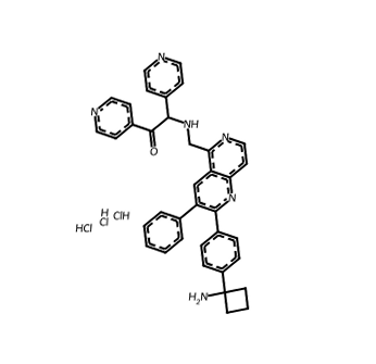 Cl.Cl.Cl.NC1(c2ccc(-c3nc4ccnc(CNC(C(=O)c5ccncc5)c5ccncc5)c4cc3-c3ccccc3)cc2)CCC1